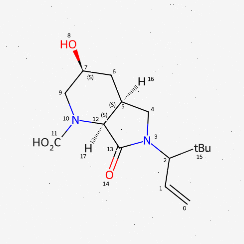 C=CC(N1C[C@@H]2C[C@H](O)CN(C(=O)O)[C@@H]2C1=O)C(C)(C)C